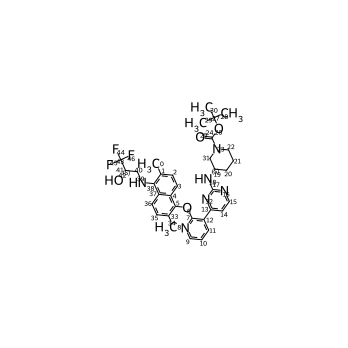 Cc1ccc2c(Oc3ncccc3-c3ccnc(N[C@H]4CCCN(C(=O)OC(C)(C)C)C4)n3)c(C)ccc2c1NC[C@H](O)C(F)(F)F